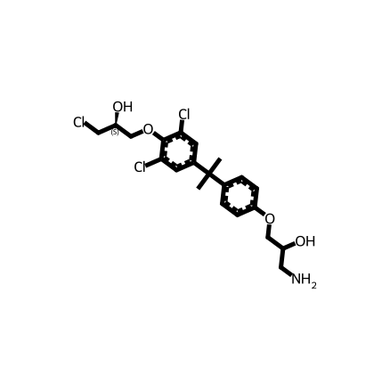 CC(C)(c1ccc(OCC(O)CN)cc1)c1cc(Cl)c(OC[C@H](O)CCl)c(Cl)c1